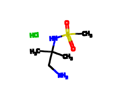 CC(C)(CN)NS(C)(=O)=O.Cl